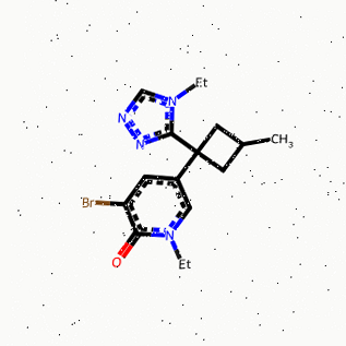 CCn1cnnc1C1(c2cc(Br)c(=O)n(CC)c2)CC(C)C1